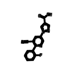 N#Cc1cc(-n2cc(C(=O)O)cn2)cnc1-c1ccccc1F